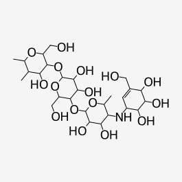 CC1OC(CO)C(OC2OC(CO)C(OC3OC(C)C(NC4C=C(CO)C(O)C(O)C4O)C(O)C3O)C(O)C2O)C(O)C1C